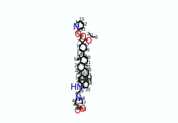 CC(C)OC(=O)C1(CCOc2ccccn2)CC=C(C2=CC[C@@]3(C)C(CC[C@]4(C)C3CC[C@@H]3[C@H]5CCC[C@]5(NCCN5CCS(=O)(=O)CC5)CC[C@]34C)C2(C)C)CC1